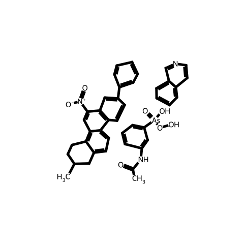 CC(=O)Nc1cccc([As](=O)(O)OO)c1.CC1CCc2c(ccc3c2cc([N+](=O)[O-])c2cc(-c4ccccc4)ccc23)C1.c1ccc2cnccc2c1